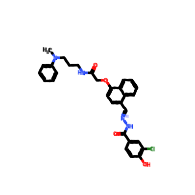 CN(CCCNC(=O)COc1ccc(/C=N/NC(=O)c2ccc(O)c(Cl)c2)c2ccccc12)c1ccccc1